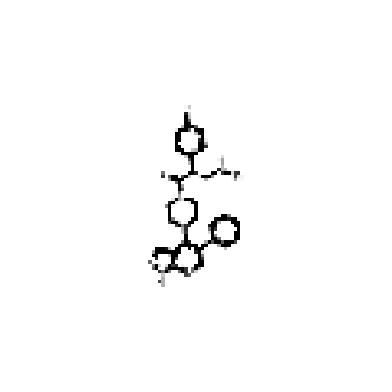 CC(C)NC[C@@H](C(=O)N1CCN(c2c(-c3ccccc3)cnc3[nH]ncc23)CC1)c1ccc(Cl)cc1